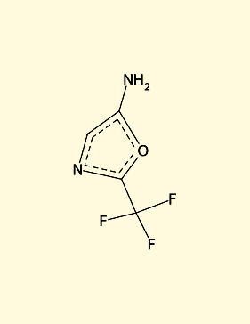 Nc1cnc(C(F)(F)F)o1